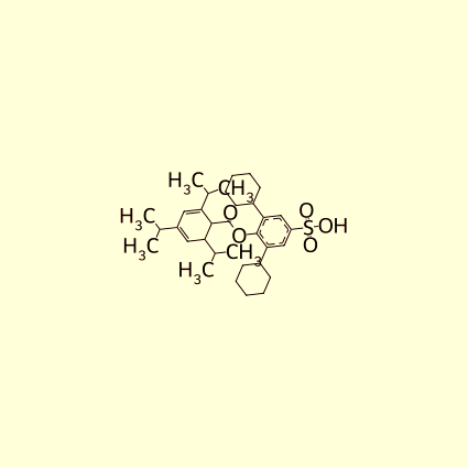 CC(C)C1=CC(C(C)C)C(C(=O)Oc2c(C3CCCCC3)cc(S(=O)(=O)O)cc2C2CCCCC2)C(C(C)C)=C1